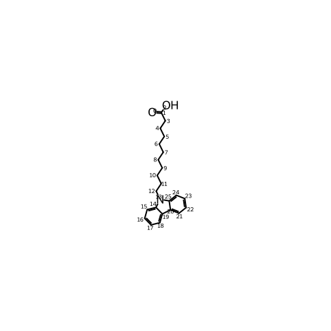 O=C(O)CCCCCCCCCCn1c2ccccc2c2ccccc21